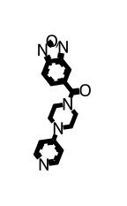 O=C(c1ccc2nonc2c1)N1CCN(c2ccncc2)CC1